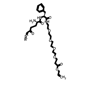 C=CCOC(=O)CCOCCOCCOCCOCCNC(=O)[C@H](Cc1ccccc1)NC(=O)[C@@H](N)CCC(=O)C=[N+]=[N-]